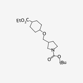 CCOC(=O)C1CCC(OCC2CCN(C(=O)OC(C)(C)C)C2)CC1